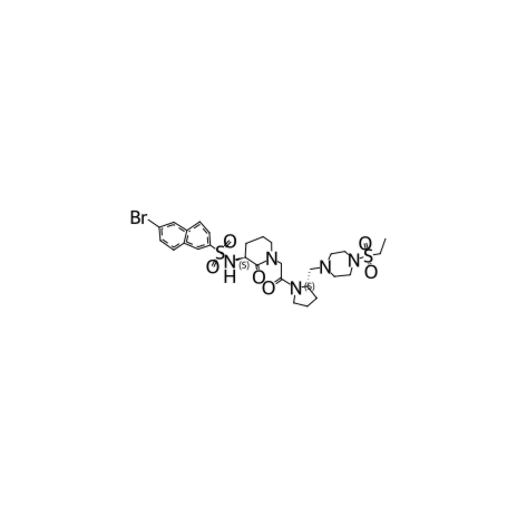 CCS(=O)(=O)N1CCN(C[C@@H]2CCCN2C(=O)CN2CCC[C@H](NS(=O)(=O)c3ccc4cc(Br)ccc4c3)C2=O)CC1